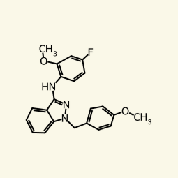 COc1ccc(Cn2nc(Nc3ccc(F)cc3OC)c3ccccc32)cc1